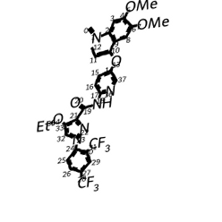 C=Nc1cc(OC)c(OC)cc1/C(=C\C)Oc1ccc(NC(=O)c2nn(-c3ccc(C(F)(F)F)cc3C(F)(F)F)cc2OCC)nc1